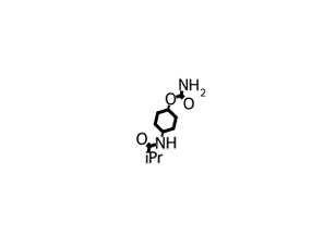 CC(C)C(=O)N[C@H]1CC[C@@H](OC(N)=O)CC1